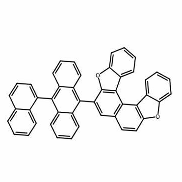 c1ccc2c(-c3c4ccccc4c(-c4cc5ccc6oc7ccccc7c6c5c5c4oc4ccccc45)c4ccccc34)cccc2c1